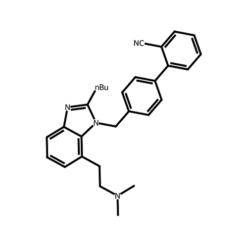 CCCCc1nc2cccc(CCN(C)C)c2n1Cc1ccc(-c2ccccc2C#N)cc1